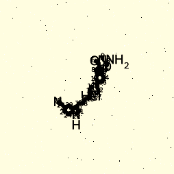 CN(C(N)=O)C(=O)c1cc2cc(N3CCN(CCCCc4c[nH]c5ccc(C#N)cc45)CC3)ccc2o1.Cl